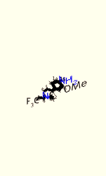 COc1cc(C2CCN(CCC(F)(F)F)CC2)ccc1N